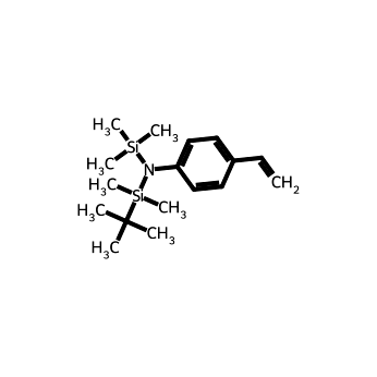 C=Cc1ccc(N([Si](C)(C)C)[Si](C)(C)C(C)(C)C)cc1